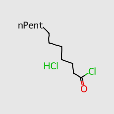 CCCCCCCCCCCC(=O)Cl.Cl